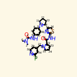 CN(C)C(=O)Nc1ccc(N2CCC[C@@H]2c2csc(NC(=O)c3cccn3Cc3ccnc(F)c3)n2)cc1